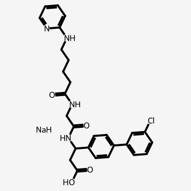 O=C(O)CC(NC(=O)CNC(=O)CCCCNc1ccccn1)c1ccc(-c2cccc(Cl)c2)cc1.[NaH]